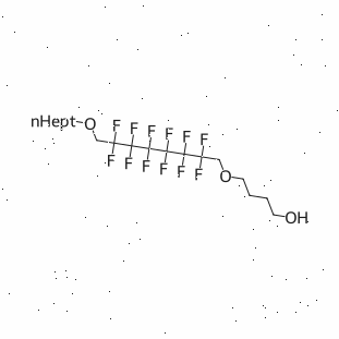 CCCCCCCOCC(F)(F)C(F)(F)C(F)(F)C(F)(F)C(F)(F)C(F)(F)COCCCCO